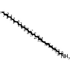 CCCCCCCCCCCCCCCCCCCCCCCCCCC=CCCCCCCCCN